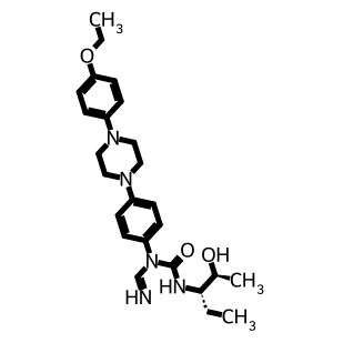 CCOc1ccc(N2CCN(c3ccc(N(C=N)C(=O)N[C@@H](CC)[C@H](C)O)cc3)CC2)cc1